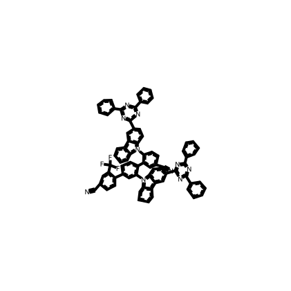 N#Cc1ccc(-n2c3ccccc3c3cc(-c4nc(-c5ccccc5)nc(-c5ccccc5)n4)ccc32)c(-c2ccc(-c3ccc(C#N)cc3C(F)(F)F)cc2-n2c3ccccc3c3cc(-c4nc(-c5ccccc5)nc(-c5ccccc5)n4)ccc32)c1